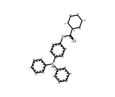 O=C(Oc1ccc([SH](c2ccccc2)c2ccccc2)cc1)C1CCCCC1